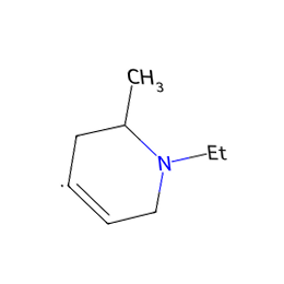 CCN1CC=[C]CC1C